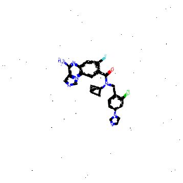 Nc1nc2cc(F)c(C(=O)N(Cc3ccc(-n4ccnc4)cc3Cl)C34CC(C3)C4)cc2n2cncc12